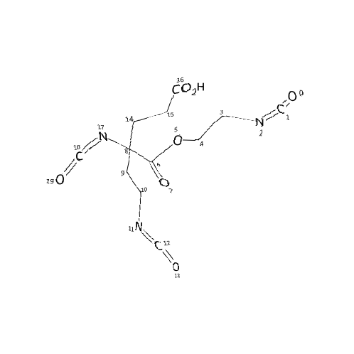 O=C=NCCOC(=O)C(CCN=C=O)(CCC(=O)O)N=C=O